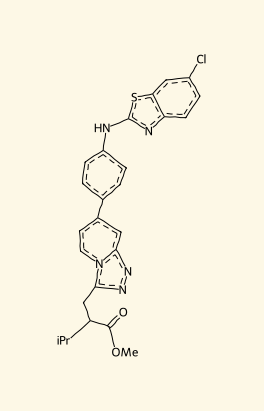 COC(=O)C(Cc1nnc2cc(-c3ccc(Nc4nc5ccc(Cl)cc5s4)cc3)ccn12)C(C)C